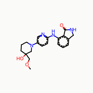 COCC1(O)CCCN(c2ccc(Nc3cccc4c3C(=O)NC4)nc2)C1